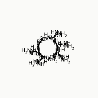 N=C(N)NCCC[C@@H]1NCN[C@@H](CCCNC(=N)N)C(=O)CN[C@@H](CCCNC(=N)N)C(=O)CC(F)CC(N)CN[C@@H](CCCNC(=N)N)C(=O)CC(=O)[C@H](CCCNC(=N)N)NCCCC(F)CC(=O)CNCC1=O